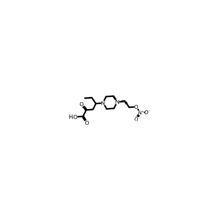 CCC(CC(=O)C(=O)O)N1CCN(CCO[N+](=O)[O-])CC1